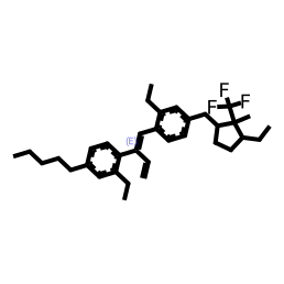 C=C/C(=C\c1ccc(CC2CCC(CC)C2(C)C(F)(F)F)cc1CC)c1ccc(CCCCC)cc1CC